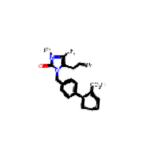 CC(C)CCc1c(C(F)(F)F)n(C(C)C)c(=O)n1Cc1ccc(-c2ccccc2C(=O)O)cc1